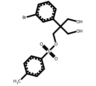 Cc1ccc(S(=O)(=O)OCC(CO)(CO)c2cccc(Br)c2)cc1